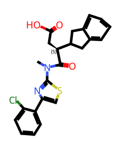 CN(C(=O)[C@@H](CC(=O)O)C1Cc2ccccc2C1)c1nc(-c2ccccc2Cl)cs1